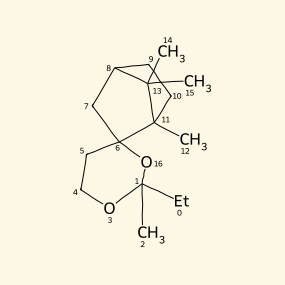 CCC1(C)OCCC2(CC3CCC2(C)C3(C)C)O1